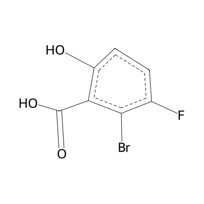 O=C(O)c1c(O)ccc(F)c1Br